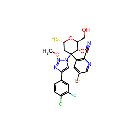 CO[C@@H]1[C@H](S)O[C@@H](CO)[C@@H](O)[C@@]1(c1cc(Br)cnc1C#N)n1cc(-c2ccc(Cl)c(F)c2)nn1